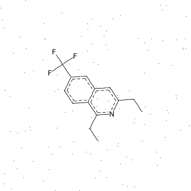 CCc1cc2cc(C(F)(F)F)ccc2c(CC)n1